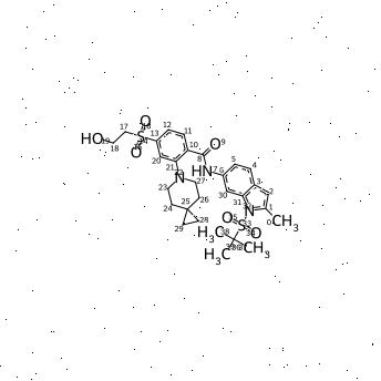 Cc1cc2ccc(NC(=O)c3ccc(S(=O)(=O)CCO)cc3N3CCC4(CC3)CC4)cc2n1S(=O)(=O)C(C)(C)C